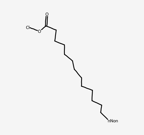 CCCCCCCCCCCCCCCCCCCCCC(=O)OCl